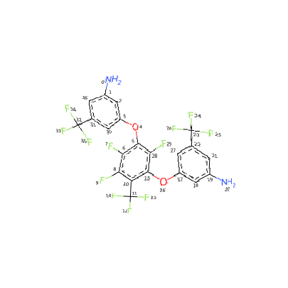 Nc1cc(Oc2c(F)c(F)c(C(F)(F)F)c(Oc3cc(N)cc(C(F)(F)F)c3)c2F)cc(C(F)(F)F)c1